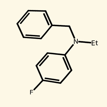 [CH2]CN(Cc1ccccc1)c1ccc(F)cc1